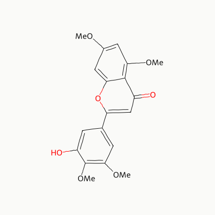 COc1cc(OC)c2c(=O)cc(-c3cc(O)c(OC)c(OC)c3)oc2c1